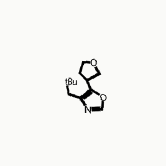 CC(C)(C)Cc1ncoc1C1CCOC1